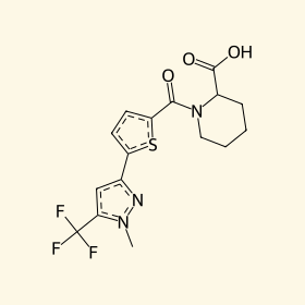 Cn1nc(-c2ccc(C(=O)N3CCCCC3C(=O)O)s2)cc1C(F)(F)F